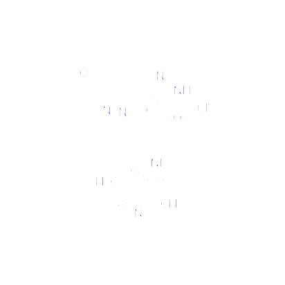 CC(=O)Nc1nc2c(s1)-c1c(c(-c3ccco3)nn1-c1ccc(NS(=O)(=O)c3c(C)noc3C)cc1Cl)CC2